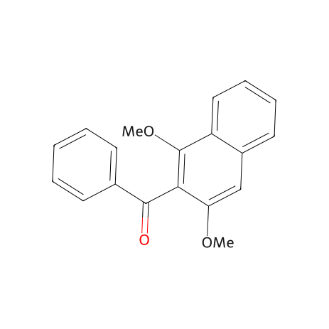 COc1cc2ccccc2c(OC)c1C(=O)c1ccccc1